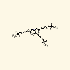 O=C(/C=C(/CC(=O)OCCOCC(F)(F)C(F)(F)F)C(=O)OCCOCC(F)(F)C(F)(F)F)OCCOCC(F)(F)C(F)(F)F